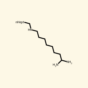 CCCCCCCCNCCCCCCCC(N)N